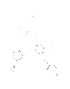 C=C/C=C\C(=C)NCc1cc(OCc2cncc(C#N)c2)c(CN[C@@H](COC(C)(C)C)C(=O)OC(C)(C)C)cc1Cl